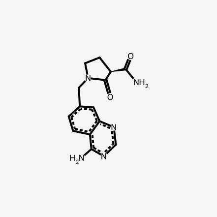 NC(=O)[C@@H]1CCN(Cc2ccc3c(N)ncnc3c2)C1=O